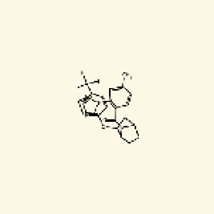 Cc1ccc(C(=O)N2C3CCC2C(Oc2cnc(C(F)(F)F)cn2)C3)c(-n2nccn2)c1